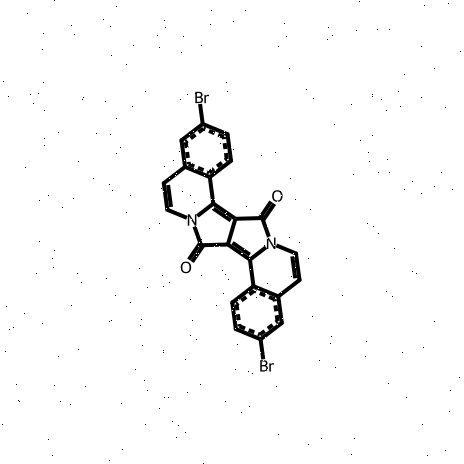 O=C1C2=C3c4ccc(Br)cc4C=CN3C(=O)C2=C2c3ccc(Br)cc3C=CN12